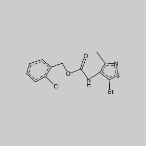 CCc1snc(C)c1NC(=O)OCc1ccccc1Cl